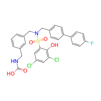 O=C(O)NCc1cccc(CN(Cc2ccc(-c3ccc(F)cc3)cc2)S(=O)(=O)c2cc(Cl)cc(Cl)c2O)c1